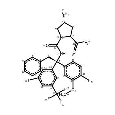 COc1cc([C@@](Cc2ccccc2)(NC(=O)N2C[C@H](C)C[C@H]2C(=O)O)c2cc(F)cc(C(F)(F)F)c2)ccc1F